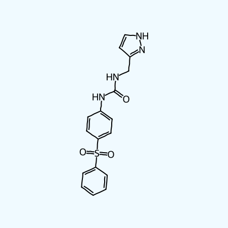 O=C(NCc1cc[nH]n1)Nc1ccc(S(=O)(=O)c2ccccc2)cc1